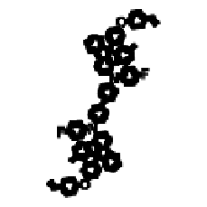 C=Cc1ccc(Oc2ccc(C3(c4cc(C)ccc4C)c4ccccc4-c4ccc(N(c5ccc(F)cc5)c5ccc(-c6ccc(N(c7ccc(F)cc7)c7ccc8c(c7)C(c7ccc(Oc9ccc(C=C)cc9)cc7)(c7cc(C)ccc7C)c7ccccc7-8)cc6)cc5)cc43)cc2)cc1